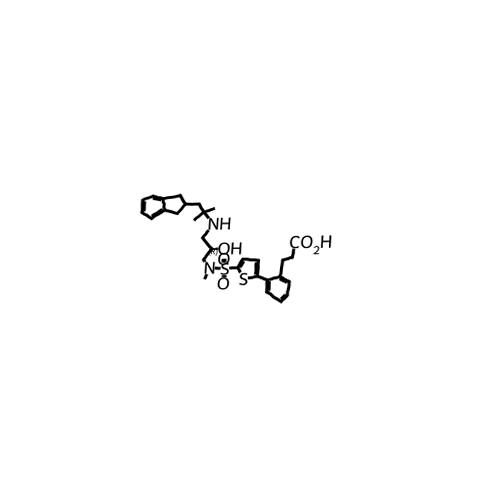 CN(C[C@H](O)CNC(C)(C)CC1Cc2ccccc2C1)S(=O)(=O)c1ccc(-c2ccccc2CCC(=O)O)s1